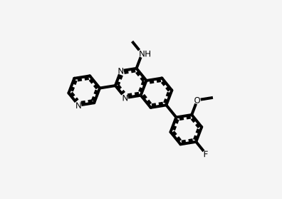 CNc1nc(-c2cccnc2)nc2cc(-c3ccc(F)cc3OC)ccc12